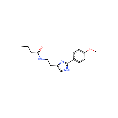 CCCC(=O)NCCc1c[nH]c(-c2ccc(OC)cc2)n1